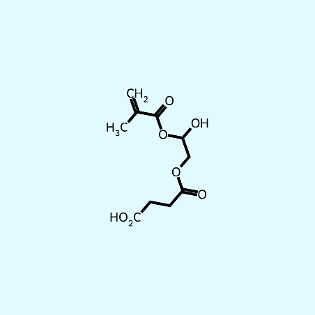 C=C(C)C(=O)OC(O)COC(=O)CCC(=O)O